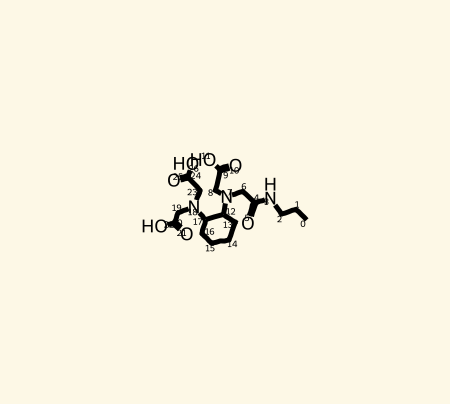 CCCNC(=O)CN(CC(=O)O)C1CCCCC1N(CC(=O)O)CC(=O)O